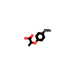 COc1ccc(OC(C)C([O])=O)cc1